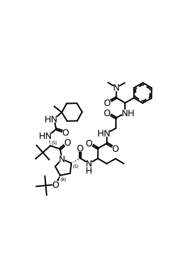 CCCC(NC(=O)[C@@H]1C[C@@H](OC(C)(C)C)CN1C(=O)[C@@H](NC(=O)NC1(C)CCCCC1)C(C)(C)C)C(=O)C(=O)NCC(=O)NC(C(=O)N(C)C)c1ccccc1